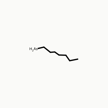 CCCCCCC[AsH2]